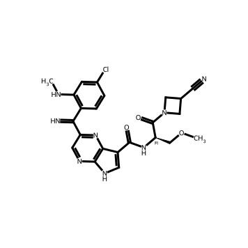 CNc1cc(Cl)ccc1C(=N)c1cnc2[nH]cc(C(=O)N[C@H](COC)C(=O)N3CC(C#N)C3)c2n1